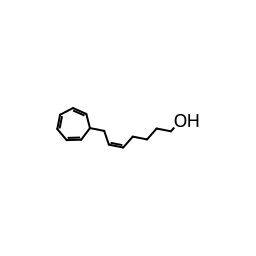 OCCCC/C=C\CC1C=CC=CC=C1